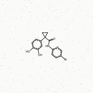 O=C(Nc1ccc(Br)cn1)C1(c2ccc(O)c(O)c2)CC1